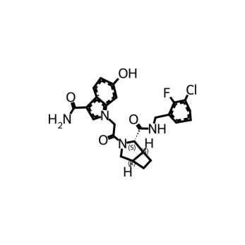 NC(=O)c1cn(CC(=O)N2C[C@@H]3CC[C@@H]3[C@H]2C(=O)NCc2cccc(Cl)c2F)c2cc(O)ccc12